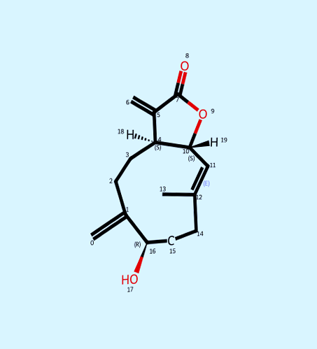 C=C1CC[C@H]2C(=C)C(=O)O[C@@H]2/C=C(\C)CC[C@H]1O